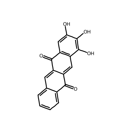 O=C1C2=Cc3c(cc(O)c(O)c3O)C(=O)C2=Cc2ccccc21